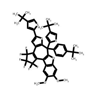 COc1cc2oc3c(c2cc1OC)C1=C(c2cc(-c4cc(C(C)(C)C)cs4)sc2C3(c2ccc(C(C)(C)C)cc2)c2cc(C(C)(C)C)cs2)C(F)(F)C(F)(F)C1(F)F